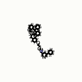 O=C1SC(Cc2ccc(OCCO/N=C/c3cncc(-c4ccccc4)c3)cc2)C(=O)N1C(c1ccccc1)(c1ccccc1)c1ccccc1